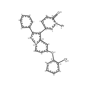 CC(C)n1nc(-c2c(-c3ccccc3)nn3ccc(Oc4ncccc4C(F)(F)F)cc23)ccc1=O